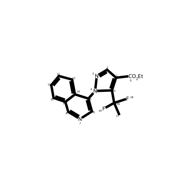 CCOC(=O)c1cnn(-c2cncc3ccccc23)c1C(C)(F)F